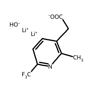 Cc1nc(C(F)(F)F)ccc1CC(=O)[O-].[Li+].[Li+].[OH-]